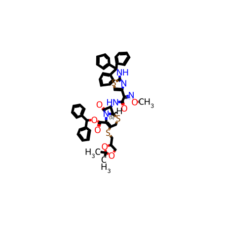 CO/N=C(\C(=O)NC1C(=O)N2C(C(=O)OC(c3ccccc3)c3ccccc3)=C(SCC3COC(C)(C)O3)CS[C@@H]12)c1csc(NC(c2ccccc2)(c2ccccc2)c2ccccc2)n1